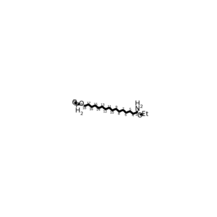 CCOC(N)CCCCCCCCCCCCCCCO[PH2]=O